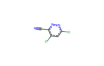 N#Cc1nnc(Cl)cc1Cl